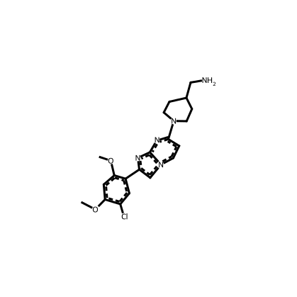 COc1cc(OC)c(-c2cn3ccc(N4CCC(CN)CC4)nc3n2)cc1Cl